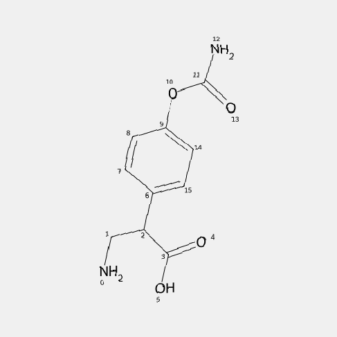 NCC(C(=O)O)c1ccc(OC(N)=O)cc1